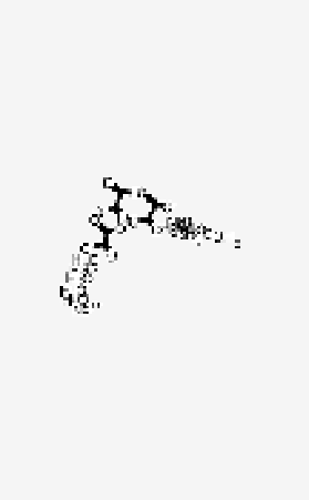 O.O.O.O.O.O.O.O.O.O.O=C([O-])C(=O)[O-].O=C([O-])C(=O)[O-].O=C([O-])C(=O)[O-].[NH4+].[Nb+5]